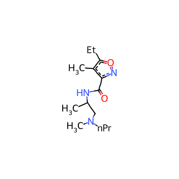 CCCN(C)CC(C)NC(=O)c1noc(CC)c1C